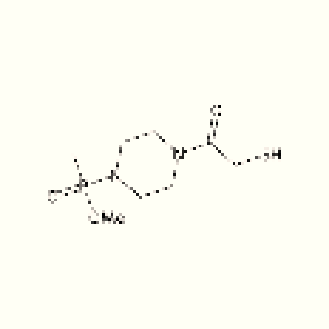 COP(C)(=O)N1CCN(C(=O)CS)CC1